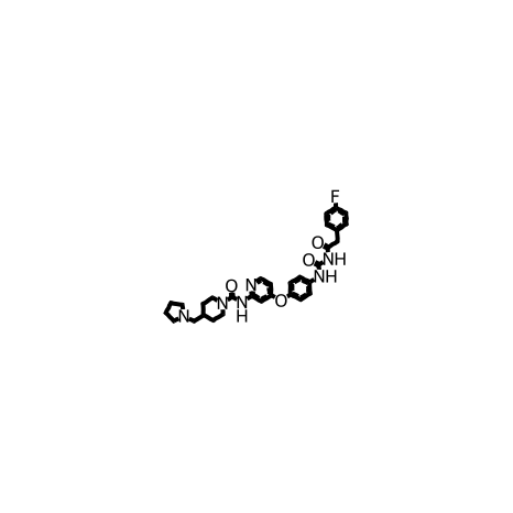 O=C(Cc1ccc(F)cc1)NC(=O)Nc1ccc(Oc2ccnc(NC(=O)N3CCC(CN4CCCC4)CC3)c2)cc1